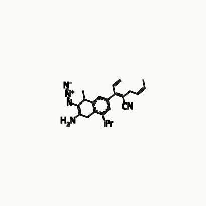 C=C/C(=C(/C#N)C/C=C\C)c1cc(C(C)C)c2c(c1)C(C)C(N=[N+]=[N-])=C(N)C2